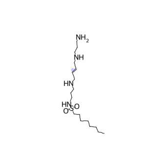 CCCCCCCCS(=O)(=O)NCCCNC/C=C/CNCCCN